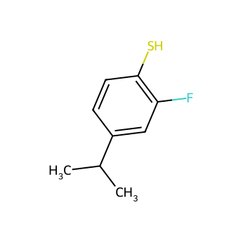 CC(C)c1ccc(S)c(F)c1